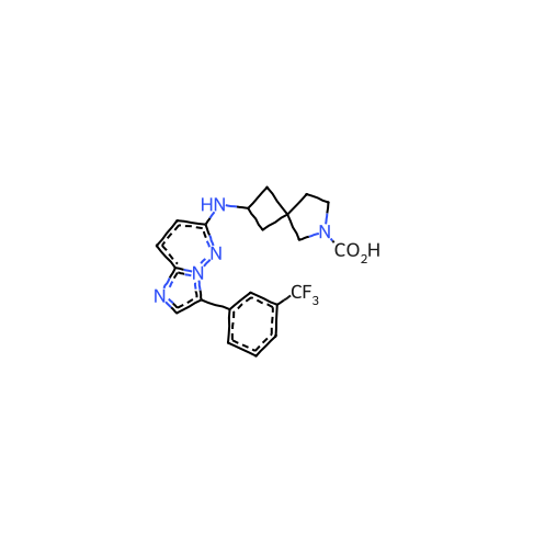 O=C(O)N1CCC2(CC(Nc3ccc4ncc(-c5cccc(C(F)(F)F)c5)n4n3)C2)C1